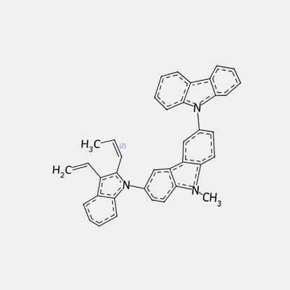 C=Cc1c(/C=C\C)n(-c2ccc3c(c2)c2cc(-n4c5ccccc5c5ccccc54)ccc2n3C)c2ccccc12